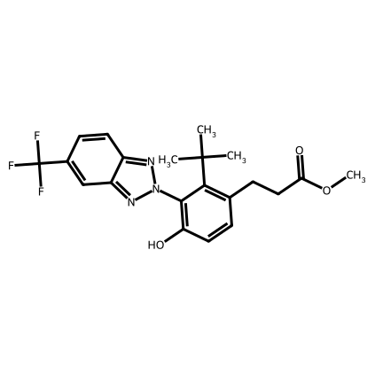 COC(=O)CCc1ccc(O)c(-n2nc3ccc(C(F)(F)F)cc3n2)c1C(C)(C)C